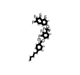 CCCCCc1ccc(C(=O)Oc2ccc(C(F)(F)Oc3cc(F)c4c(F)c(F)c(F)cc4c3)c(F)c2F)cc1